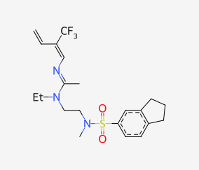 C=C/C(=C\N=C(/C)N(CC)CCN(C)S(=O)(=O)c1ccc2c(c1)CCC2)C(F)(F)F